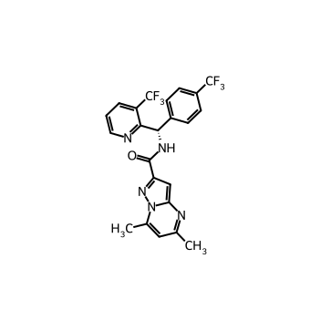 Cc1cc(C)n2nc(C(=O)N[C@@H](c3ccc(C(F)(F)F)cc3)c3ncccc3C(F)(F)F)cc2n1